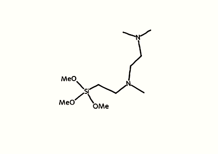 CO[Si](CCN(C)CCN(C)C)(OC)OC